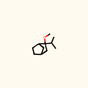 COC1(C(C)C)CC2CCC1C2